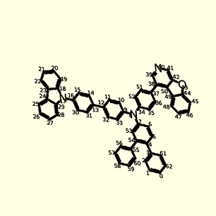 c1ccc(-c2ccc(N(c3ccc(-c4ccc(-n5c6ccccc6c6ccccc65)cc4)cc3)c3ccc(-c4cncc5oc6ccccc6c45)cc3)cc2-c2ccccc2)cc1